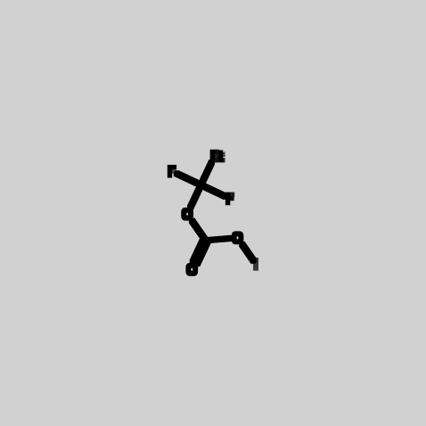 CCC(F)(F)OC(=O)OI